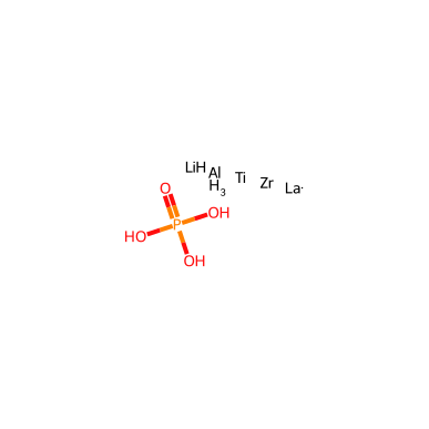 O=P(O)(O)O.[AlH3].[La].[LiH].[Ti].[Zr]